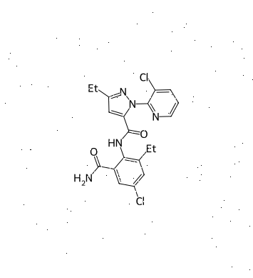 CCc1cc(C(=O)Nc2c(CC)cc(Cl)cc2C(N)=O)n(-c2ncccc2Cl)n1